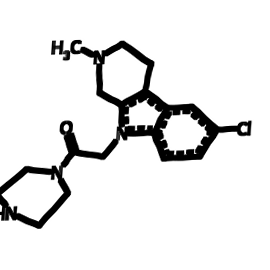 CN1CCc2c(n(CC(=O)N3CCNCC3)c3ccc(Cl)cc23)C1